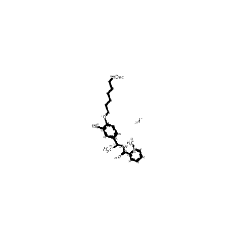 CCCCCCCCCCCCCCCCOc1ccc(C(C)NC(=O)c2cccc[n+]2C)cc1C(C)(C)C.[I-]